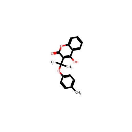 Cc1ccc(OC(C)(C)c2c(O)c3ccccc3oc2=O)cc1